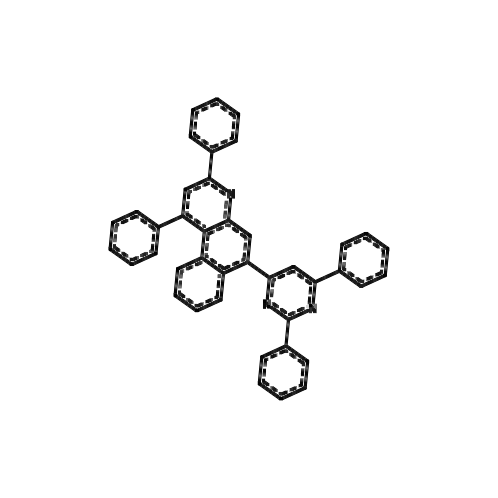 c1ccc(-c2cc(-c3cc4nc(-c5ccccc5)cc(-c5ccccc5)c4c4ccccc34)nc(-c3ccccc3)n2)cc1